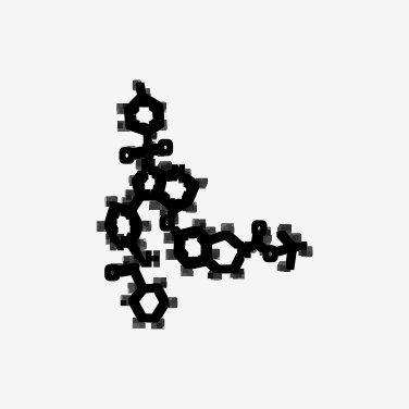 Cc1ccc(S(=O)(=O)n2cc(-c3ccnc(NC(=O)C4CCCCC4)c3)c3c(Oc4ccc5c(c4)CN(C(=O)OC(C)(C)C)CC5)ccnc32)cc1